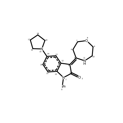 CC(C)N1C(=O)/C(=C2/CCOCCN2)c2cc(N3CCCC3)ccc21